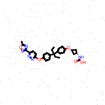 CCC(CC)(c1ccc(Oc2ccc(-c3noc(C)n3)nn2)cc1)c1ccc(O[C@H]2C[C@@H](NC(=O)O)C2)cc1